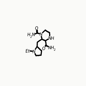 CCN1CCCC1CC1C(C(N)=O)NCCN1C(N)=O